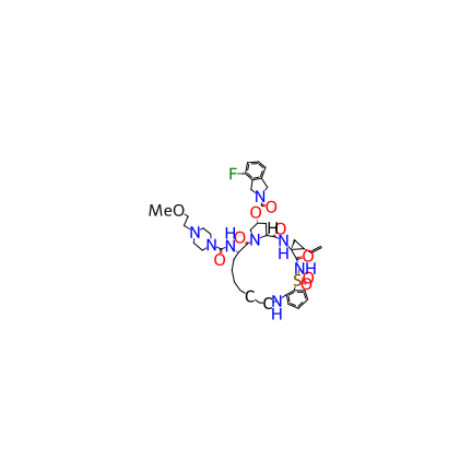 C=C[C@@H]1C[C@@]12NC(=O)[C@@H]1C[C@@H](OC(=O)N3Cc4cccc(F)c4C3)CN1C(=O)[C@@H](NC(=O)N1CCN(CCOC)CC1)CCCCCCCNc1ccccc1S(=O)(=O)NC2=O